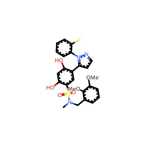 COc1cccc(CN(C)S(=O)(=O)c2cc(-c3ccnn3-c3ccccc3F)c(O)cc2O)c1OC